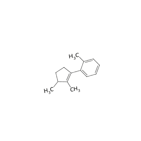 CC1=C(c2ccccc2C)CCC1C